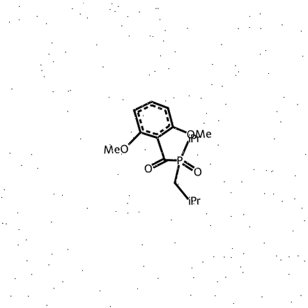 COc1cccc(OC)c1C(=O)P(=O)(CC(C)C)C(C)C